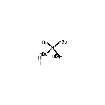 CCCC[N+](CCCC)(CCCC)CCCC.I.I.[I-]